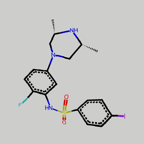 C[C@@H]1CN(c2ccc(F)c(NS(=O)(=O)c3ccc(I)cc3)c2)C[C@H](C)N1